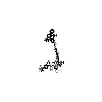 Cc1ncsc1-c1ccc([C@H](CN(C)C)NC(=O)[C@@H]2C[C@@H](O)CN2C(=O)[C@@H](NC(=O)COCCOCCOCCOc2cc(F)c(C3c4[nH]c5ccccc5c4C[C@@H](C)N3CC(C)(C)F)c(F)c2)C(C)(C)C)cc1